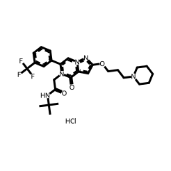 CC(C)(C)NC(=O)Cn1c(-c2cccc(C(F)(F)F)c2)cn2nc(OCCCN3CCCCC3)cc2c1=O.Cl